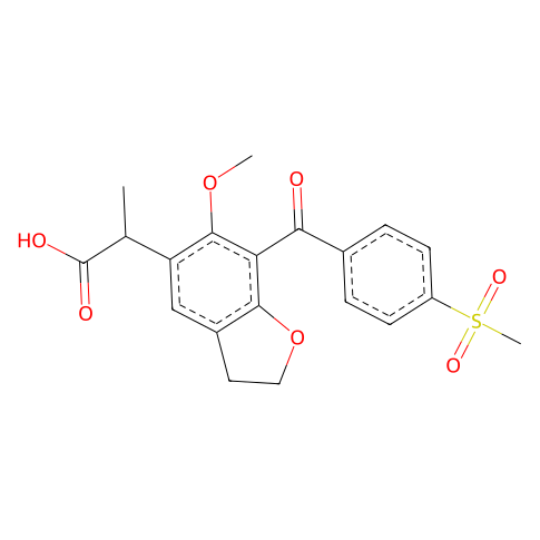 COc1c(C(C)C(=O)O)cc2c(c1C(=O)c1ccc(S(C)(=O)=O)cc1)OCC2